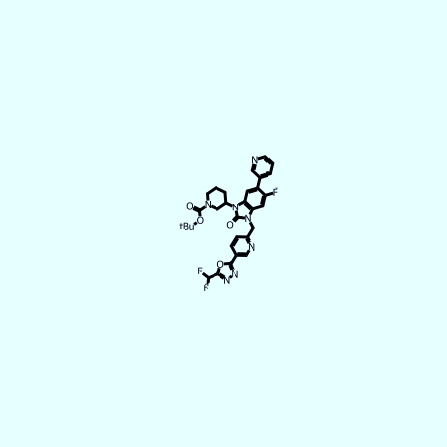 CC(C)(C)OC(=O)N1CCCC(n2c(=O)n(Cc3ccc(-c4nnc(C(F)F)o4)cn3)c3cc(F)c(-c4cccnc4)cc32)C1